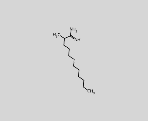 CCCCCCCCCCC(C)C(=N)N